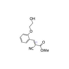 COC(=O)/C(C#N)=C/c1ccccc1OCCO